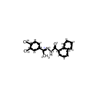 C/C(=N\NC(=O)c1cccc2ccccc12)c1ccc(Cl)c(Cl)c1